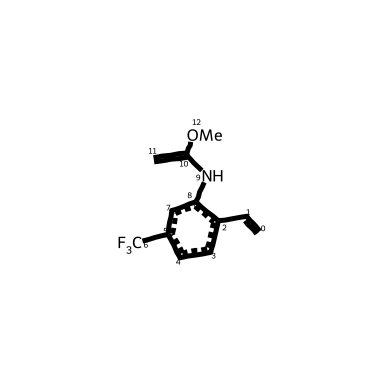 C=Cc1ccc(C(F)(F)F)cc1NC(=C)OC